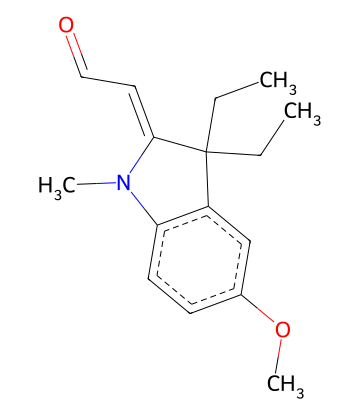 CCC1(CC)/C(=C/C=O)N(C)c2ccc(OC)cc21